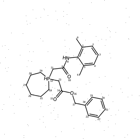 Cc1cccc(C)c1NC(=O)C[PH]1(CC(=O)OCc2ccccc2)CCCCCC1